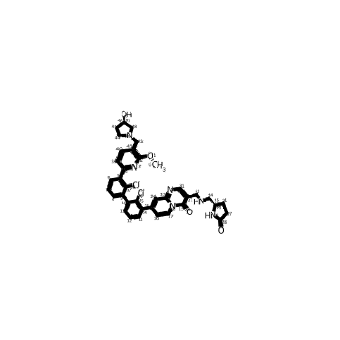 COc1nc(-c2cccc(-c3cccc(-c4ccn5c(=O)c(CNC[C@H]6CCC(=O)N6)cnc5c4)c3Cl)c2Cl)ccc1CN1CC[C@@H](O)C1